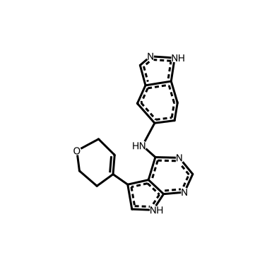 C1=C(c2c[nH]c3ncnc(Nc4ccc5[nH]ncc5c4)c23)CCOC1